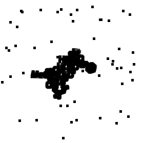 CCC(C)(C)O[C@@H]1C(C(=O)OCc2ccccc2)OC(C(C)(C)OCCC(C)(C)O[C@@H]2C(C(=O)OCC3C(C=C(C)C)C3(C)C)OC(C(C)(C)OC)C(O)[C@H]2O)C(O)[C@H]1O